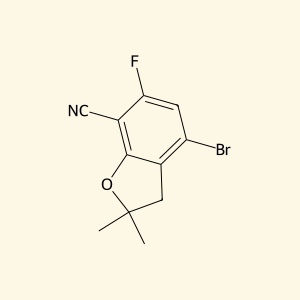 CC1(C)Cc2c(Br)cc(F)c(C#N)c2O1